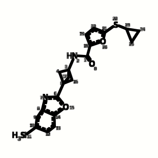 O=C(NC12CC(c3nc4cc([SiH3])ccc4o3)(C1)C2)c1ccc(SC2CC2)o1